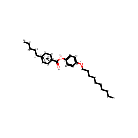 CCCCCCCCCCOc1ccc(OC(=O)C23CCC(CCCCC)(CC2)CC3)cc1